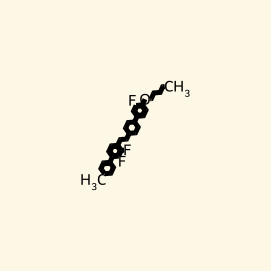 CCCCCOc1ccc(C2CCC(CCc3ccc(C4=CCC(C)CC4)c(F)c3F)CC2)cc1F